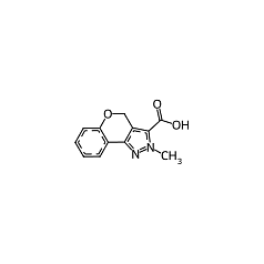 Cn1nc2c(c1C(=O)O)COc1ccccc1-2